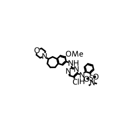 COc1cc2c(cc1Nc1ncc(Cl)c(Nc3ccccc3S(=O)(=O)N(C)C)n1)CCCC(N1CCOCC1)C2